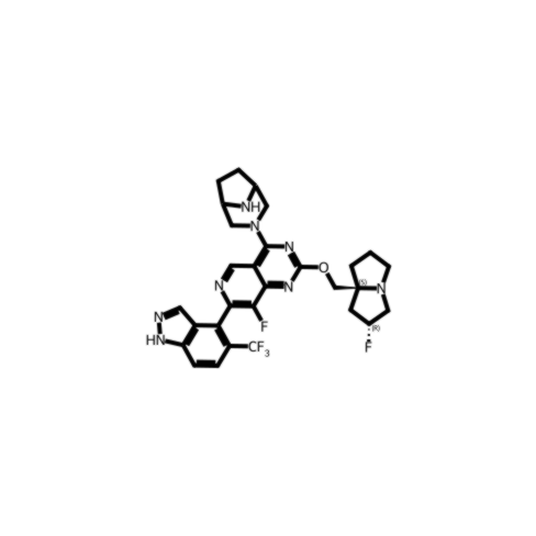 Fc1c(-c2c(C(F)(F)F)ccc3[nH]ncc23)ncc2c(N3CC4CCC(C3)N4)nc(OC[C@@]34CCCN3C[C@H](F)C4)nc12